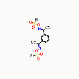 CCS(=O)(=O)ON=C(C#N)c1cccc(C(C#N)=NOS(=O)(=O)CC)c1